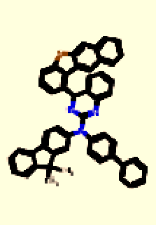 CC1(C)c2ccccc2-c2ccc(N(C3=Nc4ccccc4C(c4cccc5sc6cc7ccccc7cc6c45)N3)c3ccc(-c4ccccc4)cc3)cc21